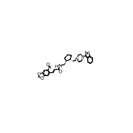 O=Nc1cc2c(cc1/C=C/C(=O)NC[C@H]1CCC[C@@H]1CN1CCN(c3nsc4ccccc34)CC1)OCO2